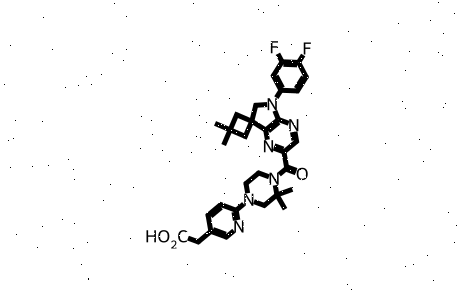 CC1(C)CC2(CN(c3ccc(F)c(F)c3)c3ncc(C(=O)N4CCN(c5ccc(CC(=O)O)cn5)CC4(C)C)nc32)C1